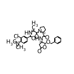 C[C@H](NC(=O)c1ccc(N(C)C)c(Cl)c1)C(=O)N1CCC[C@H]1C(=O)N[C@H]1CC(=O)OC1OCc1ccccc1